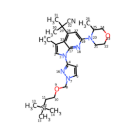 Cc1cn(-c2ccn(COCC[Si](C)(C)C)n2)c2nc(N3CCOCC3C)cc(C(C)(C)C#N)c12